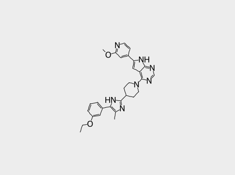 CCOc1cccc(-c2[nH]c(C3CCN(c4ncnc5[nH]c(-c6ccnc(OC)c6)cc45)CC3)nc2C)c1